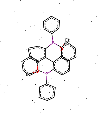 CCOc1cccc(P(c2ccccc2)c2ccccc2)c1-c1c(OCC)cccc1P(c1ccccc1)c1ccccc1